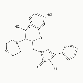 Cl.O=C(O)C(C(Cn1oc(-c2ccccc2)c(Cl)c1=O)Oc1ccccc1)N1CCOCC1